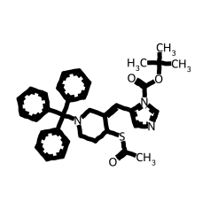 CC(=O)SC1CCN(C(c2ccccc2)(c2ccccc2)c2ccccc2)C/C1=C/c1cncn1C(=O)OC(C)(C)C